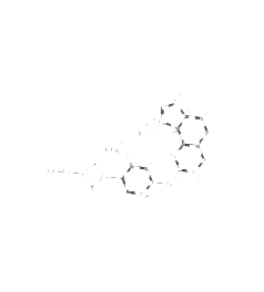 CNC1CN(c2cnc(Nc3ncc4ccc5ncn(C(C)C)c5c4n3)cc2OC)C1